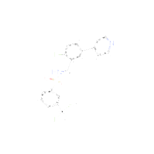 O=S(=O)(NCc1cc(-c2ccncc2)ccc1F)c1cccc(C(F)(F)F)c1